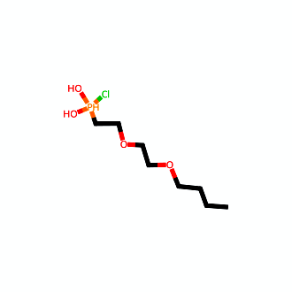 CCCCOCCOCC[PH](O)(O)Cl